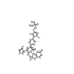 Cc1nn(COP(=O)(O)O)c(C)c1-c1ccc(NC(=O)[C@@H](NC(=O)c2ccnn2C)C2c3cc(F)ccc3CC23CC3)cc1